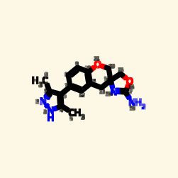 Cc1n[nH]c(C)c1-c1ccc2c(c1)CC1(COC(N)=N1)CO2